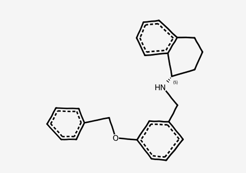 c1ccc(COc2cccc(CN[C@H]3CCCc4ccccc43)c2)cc1